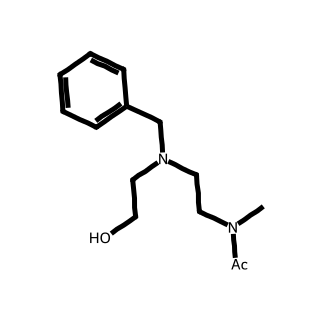 CC(=O)N(C)CCN(CCO)Cc1ccccc1